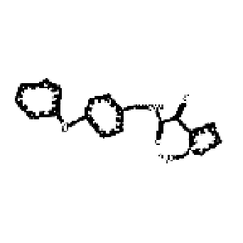 Cn1cccc1C(=O)C(=O)Nc1ccc(Oc2ccccc2)cc1